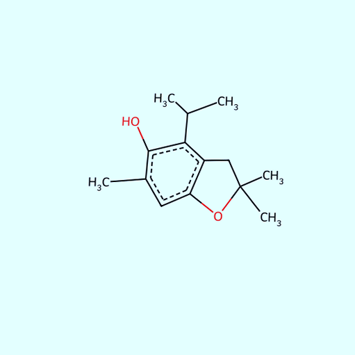 Cc1cc2c(c(C(C)C)c1O)CC(C)(C)O2